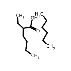 CCCCC(CC)C(=O)O.CCCCCC